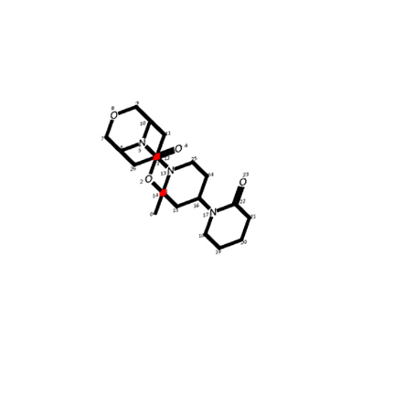 CCOC(=O)N1C2COCC1CC(N1CCC(N3CCCCC3=O)CC1)C2